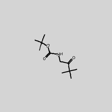 CC(C)(C)OC(=O)NCC(=O)C(C)(C)C